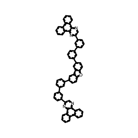 c1cc(-c2cccc(-c3cnc4c5ccccc5c5ccccc5c4n3)c2)cc(-c2ccc3oc4ccc(-c5cccc(-c6cccc(-c7cnc8c9ccccc9c9ccccc9c8n7)c6)c5)cc4c3c2)c1